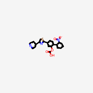 O=C(O)Oc1cc(-c2nc(-c3ccncc3)cs2)ccc1-c1ccccc1[N+](=O)[O-]